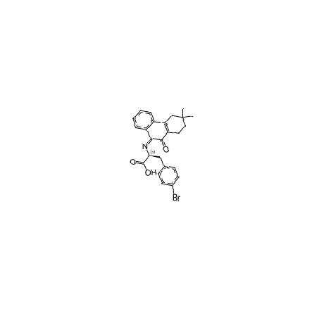 CC1(C)CCC2=C(C1)c1ccccc1C(=N[C@@H](Cc1ccc(Br)cc1)C(=O)O)C2=O